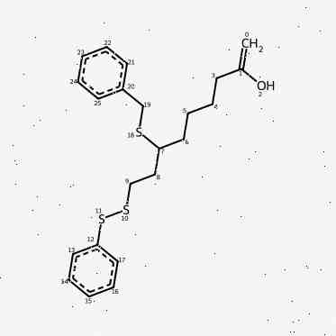 C=C(O)CCCCC(CCSSc1ccccc1)SCc1ccccc1